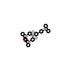 c1ccc2c(c1)c1ccccc1n2-c1ccc(-c2cc3c4c(c2)Oc2ccc(-n5c6ccccc6c6ccccc65)cc2B4c2cc(-n4c5ccccc5c5ccccc54)ccc2O3)cc1